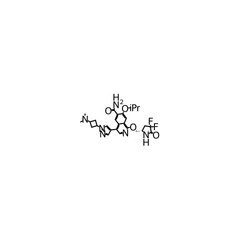 CC(C)Oc1cc2c(OC[C@@H]3CC(F)(F)C(=O)N3)ncc(-c3cnn(C4CC(N(C)C)C4)c3)c2cc1C(N)=O